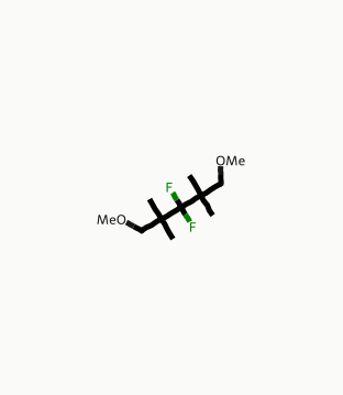 COCC(C)(C)C(F)(F)C(C)(C)COC